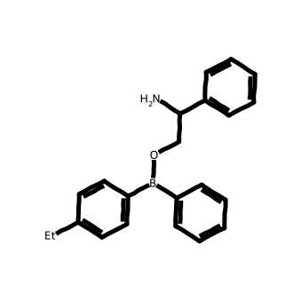 CCc1ccc(B(OCC(N)c2ccccc2)c2ccccc2)cc1